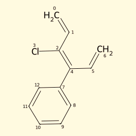 C=CC(Cl)=C(C=C)c1ccccc1